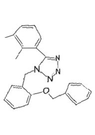 Cc1cccc(-c2nnnn2Cc2ccccc2OCc2ccccc2)c1C